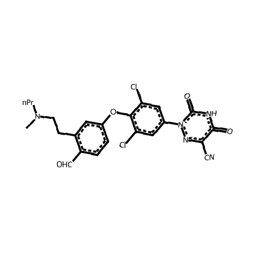 CCCN(C)CCc1cc(Oc2c(Cl)cc(-n3nc(C#N)c(=O)[nH]c3=O)cc2Cl)ccc1C=O